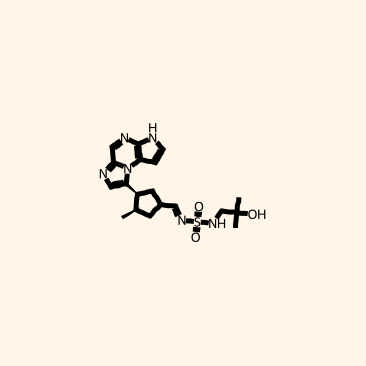 C[C@@H]1CC(/C=N/S(=O)(=O)NCC(C)(C)O)C[C@@H]1c1cnc2cnc3[nH]ccc3n12